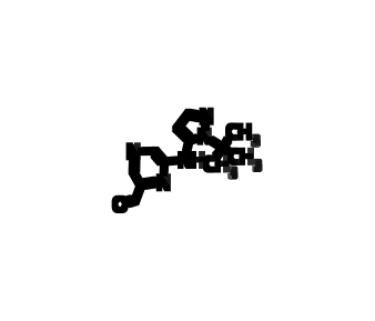 CC(C)(C)n1nccc1Nc1cncc(C=O)n1